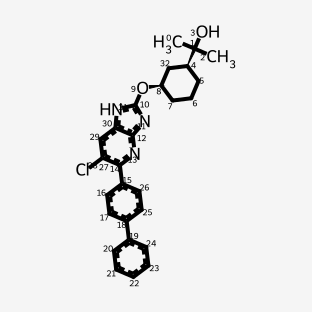 CC(C)(O)[C@H]1CCC[C@@H](Oc2nc3nc(-c4ccc(-c5ccccc5)cc4)c(Cl)cc3[nH]2)C1